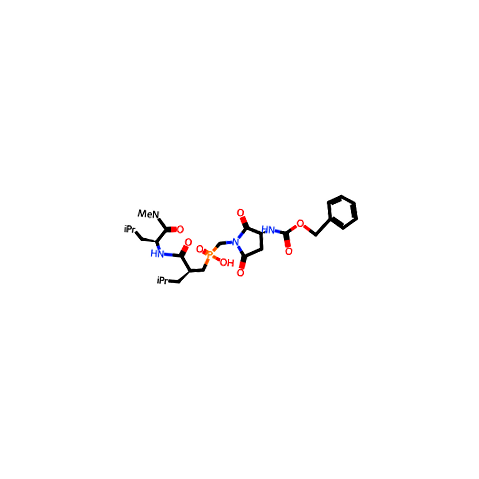 CNC(=O)[C@H](CC(C)C)NC(=O)[C@H](CC(C)C)CP(=O)(O)CN1C(=O)C[C@@H](NC(=O)OCc2ccccc2)C1=O